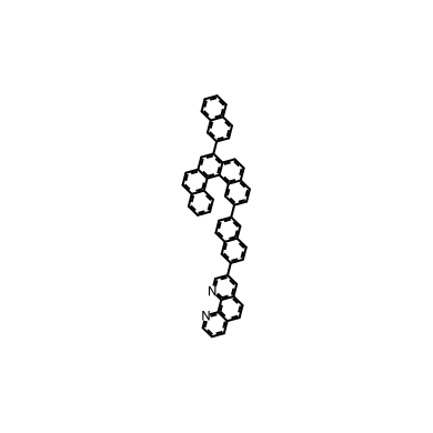 c1ccc2cc(-c3cc4ccc5ccccc5c4c4c3ccc3ccc(-c5ccc6cc(-c7cnc8c(ccc9cccnc98)c7)ccc6c5)cc34)ccc2c1